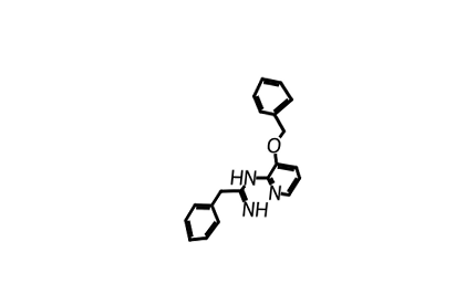 N=C(Cc1ccccc1)Nc1ncccc1OCc1ccccc1